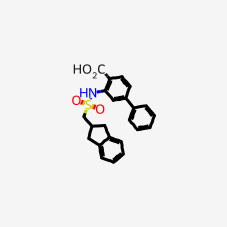 O=C(O)c1ccc(-c2ccccc2)cc1NS(=O)(=O)CC1Cc2ccccc2C1